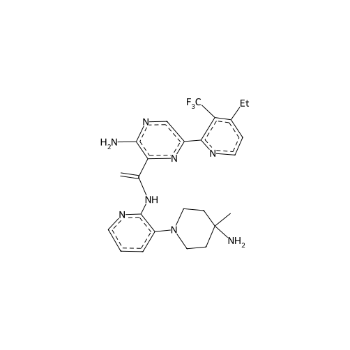 C=C(Nc1ncccc1N1CCC(C)(N)CC1)c1nc(-c2nccc(CC)c2C(F)(F)F)cnc1N